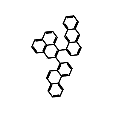 [CH]1C(c2cccc3c2ccc2ccccc23)=C(c2cccc3cc4ccccc4cc23)c2cccc3cccc1c23